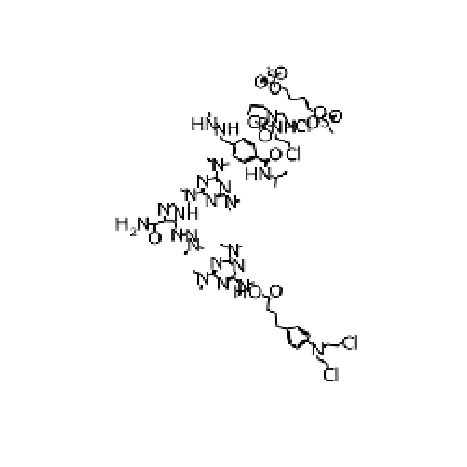 CN(C)/N=N/c1[nH]cnc1C(N)=O.CN(C)c1nc(N(C)C)nc(N(C)C)n1.CN(C)c1nc(N(C)C)nc(N(C)C)n1.CNNCc1ccc(C(=O)NC(C)C)cc1.CS(=O)(=O)OCCCCOS(C)(=O)=O.O=C(O)CCCc1ccc(N(CCCl)CCCl)cc1.O=P1(NCCCl)OCCCN1CCCl